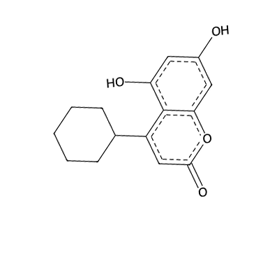 O=c1cc(C2CCCCC2)c2c(O)cc(O)cc2o1